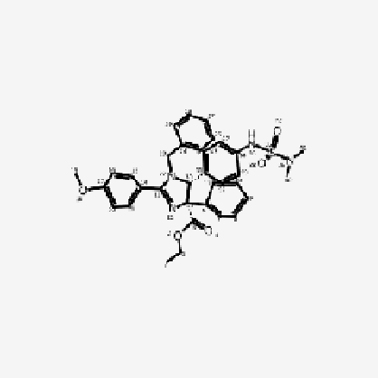 CCOC(=O)[C@]1(c2ccccc2)N=C(c2ccc(OC)cc2)N(Cc2ccccc2)[C@@H]1c1ccc(NS(=O)(=O)N(C)C)cc1